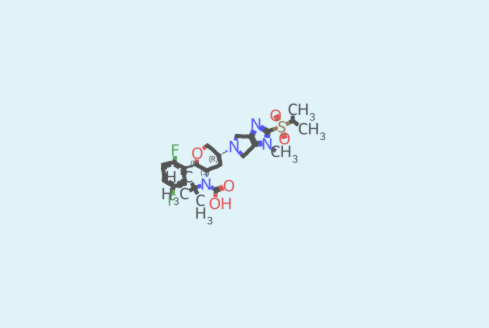 CC(C)S(=O)(=O)c1nc2c(n1C)CN([C@H]1CO[C@H](c3cc(F)ccc3F)[C@@H](N(C(=O)O)C(C)(C)C)C1)C2